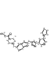 C[C@@H]1CN(Cc2ccc3nc(Cn4cc(-c5cncc(-n6cccc6)c5)nn4)cn3c2)CCN1C(=O)OC(C)(C)C